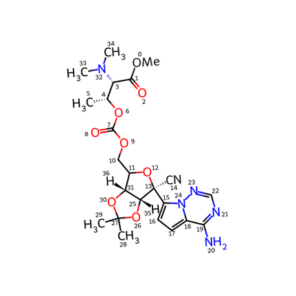 COC(=O)[C@H]([C@@H](C)OC(=O)OCC1O[C@@](C#N)(c2ccc3c(N)ncnn23)[C@@H]2OC(C)(C)O[C@H]12)N(C)C